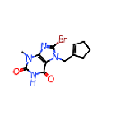 Cn1c(=O)[nH]c(=O)c2c1nc(Br)n2CC1=CCCC1